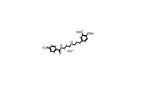 COc1ccc(CCCNCCCNC(=O)c2ccc([N+](=O)[O-])cc2)cc1OC.Cl